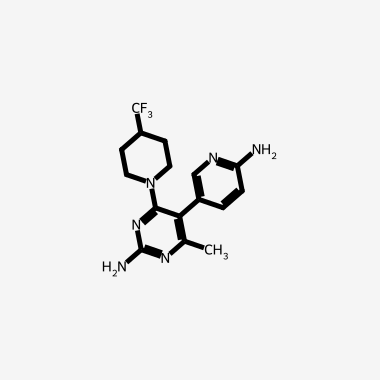 Cc1nc(N)nc(N2CCC(C(F)(F)F)CC2)c1-c1ccc(N)nc1